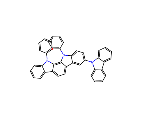 c1ccc(-n2c3ccccc3c3ccc4c5cc(-n6c7ccccc7c7ccccc76)ccc5n(-c5ccccc5)c4c32)cc1